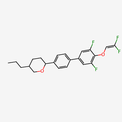 CCCC1CCC(c2ccc(-c3cc(F)c(OC=C(F)F)c(F)c3)cc2)OC1